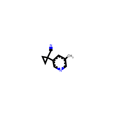 Cc1cncc(C2(C#N)CC2)c1